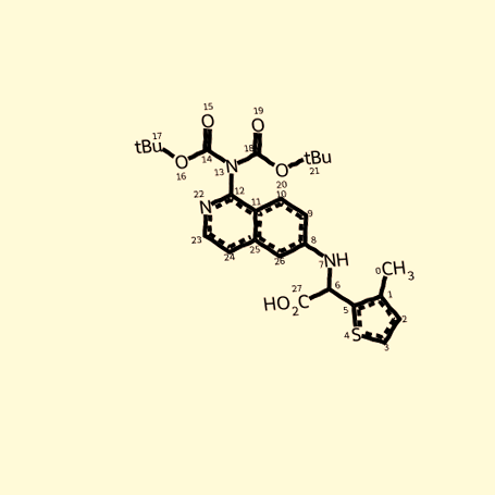 Cc1ccsc1C(Nc1ccc2c(N(C(=O)OC(C)(C)C)C(=O)OC(C)(C)C)nccc2c1)C(=O)O